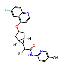 CCC(C(=O)Nc1ccc(C#N)cn1)C1[C@H]2CC(Oc3ccnc4ccc(F)cc34)C[C@@H]12